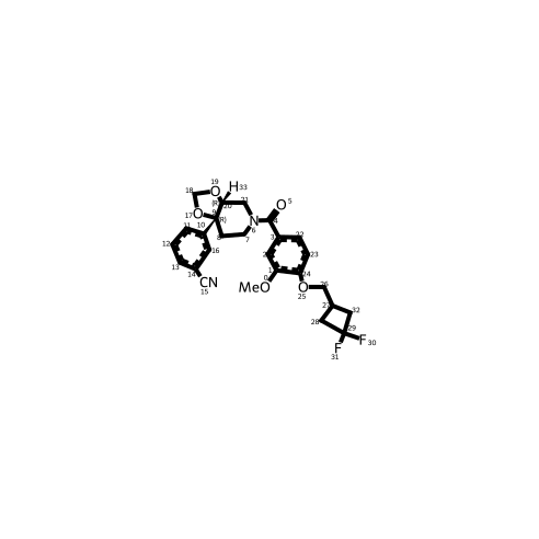 COc1cc(C(=O)N2CC[C@]3(c4cccc(C#N)c4)OCO[C@@H]3C2)ccc1OCC1CC(F)(F)C1